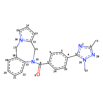 Cc1nc(-c2ccc(C(=O)N3Cc4cccn4Cc4ccccc43)cc2)n(C)n1